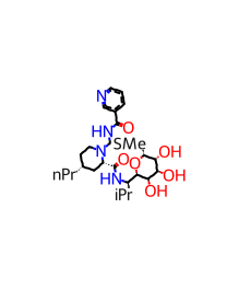 CCC[C@@H]1CCN(CNC(=O)c2cccnc2)[C@H](C(=O)N[C@H](C(C)C)[C@H]2O[C@H](SC)[C@H](O)[C@@H](O)[C@H]2O)C1